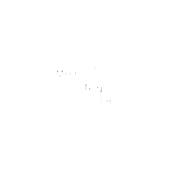 CN=NC(=O)OC